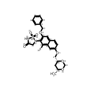 C[C@@H]1C[C@H](COc2ccc3cc(OCc4ccccc4)c(N4CC(=O)NS4(=O)=O)c(F)c3c2)OCO1